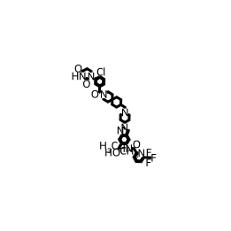 CC(C)(O)c1cc2nn(C3CCN(CC4CCC5(CC4)CCN(C(=O)c4ccc(Cl)c(N6CCC(=O)NC6=O)c4)CC5)CC3)cc2cc1NC(=O)c1cccc(C(F)(F)F)n1